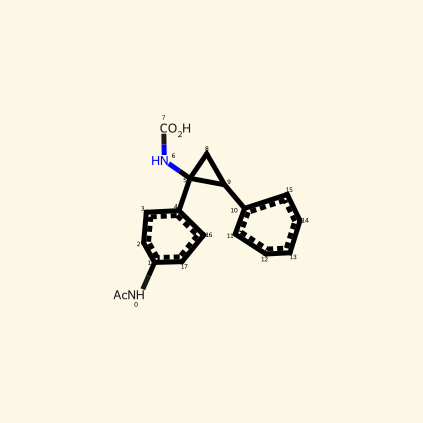 CC(=O)Nc1ccc(C2(NC(=O)O)CC2c2ccccc2)cc1